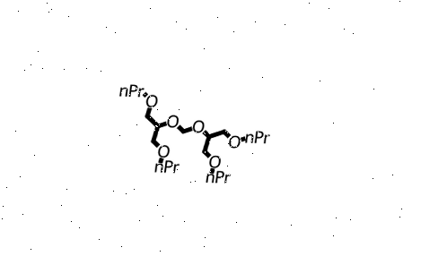 CCCOCC(COCCC)OCOC(COCCC)COCCC